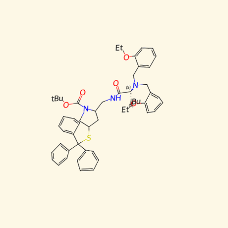 CCOc1ccccc1CN(Cc1ccccc1OCC)[C@H](C(=O)NCC1CC(SC(c2ccccc2)(c2ccccc2)c2ccccc2)CN1C(=O)OC(C)(C)C)[C@@H](C)CC